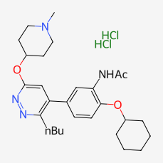 CCCCc1nnc(OC2CCN(C)CC2)cc1-c1ccc(OC2CCCCC2)c(NC(C)=O)c1.Cl.Cl